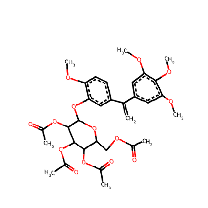 C=C(c1ccc(OC)c(OC2OC(COC(C)=O)C(OC(C)=O)C(OC(C)=O)C2OC(C)=O)c1)c1cc(OC)c(OC)c(OC)c1